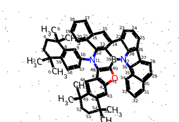 CC1(C)CCC(C)(C)c2cc(N3c4c5c(cc6ccccc46)-c4cccc6c7ccc8ccccc8c7n(c46)B5c4oc5cc6c(cc5c43)C(C)(C)CCC6(C)C)ccc21